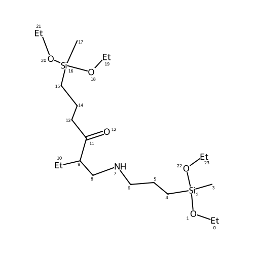 CCO[Si](C)(CCCNCC(CC)C(=O)CCC[Si](C)(OCC)OCC)OCC